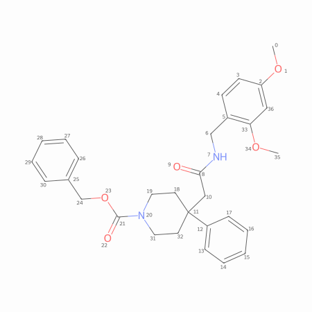 COc1ccc(CNC(=O)CC2(c3ccccc3)CCN(C(=O)OCc3ccccc3)CC2)c(OC)c1